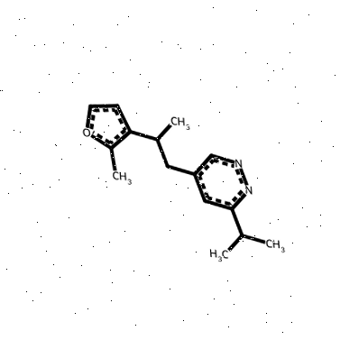 Cc1occc1C(C)Cc1cnnc(C(C)C)c1